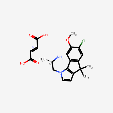 COc1cc2c(cc1Cl)C(C)(C)c1ccn(C[C@H](C)N)c1-2.O=C(O)/C=C/C(=O)O